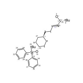 CC(C)(C)[S@@+]([O-])/N=C/CC[C@H]1CC[C@H](O[Si](c2ccccc2)(c2ccccc2)C(C)(C)C)CC1